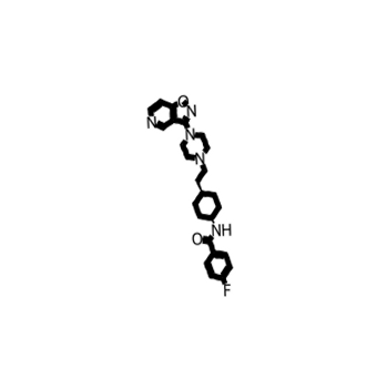 O=C(N[C@H]1CC[C@H](CCN2CCN(c3noc4ccncc34)CC2)CC1)c1ccc(F)cc1